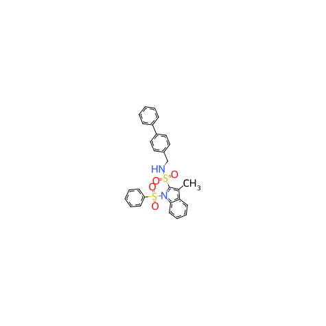 Cc1c(S(=O)(=O)NCc2ccc(-c3ccccc3)cc2)n(S(=O)(=O)c2ccccc2)c2ccccc12